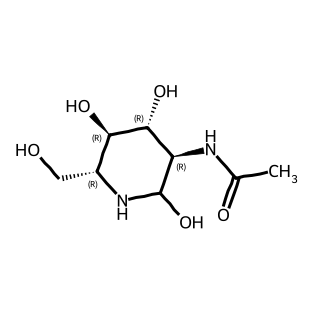 CC(=O)N[C@H]1C(O)N[C@H](CO)[C@@H](O)[C@@H]1O